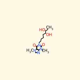 CCC(O)C(O)CCCCCn1c(=O)c2c(ncn2C)n(C)c1=O